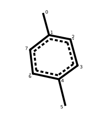 Cc1[c]cc(C)[c]c1